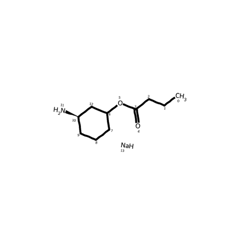 CCCC(=O)OC1CCC[C@@H](N)C1.[NaH]